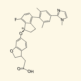 Cc1cc(-c2nccn2C)cc(C)c1-c1ccc(F)c2c1CC[C@H]2Oc1ccc2c(c1)OCC2CC(=O)O